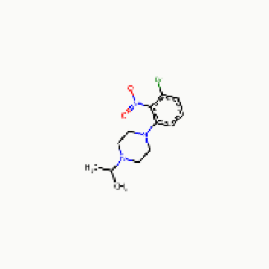 CC(C)N1CCN(c2cccc(Br)c2[N+](=O)[O-])CC1